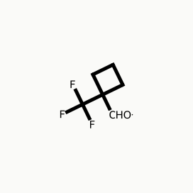 O=[C]C1(C(F)(F)F)CCC1